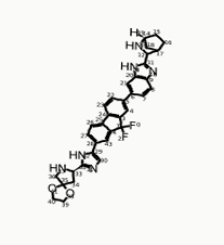 FC1(F)c2cc(-c3ccc4nc(C5N[C@@H]6CCC5C6)[nH]c4c3)ccc2-c2ccc(-c3cnc([C@H]4CC5(CN4)OCCO5)[nH]3)cc21